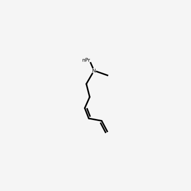 C=C/C=C\CCN(C)CCC